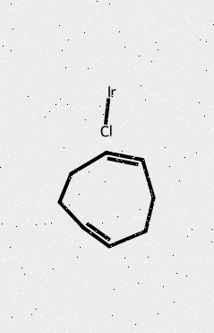 C1=C\CC/C=C\CC/1.[Cl][Ir]